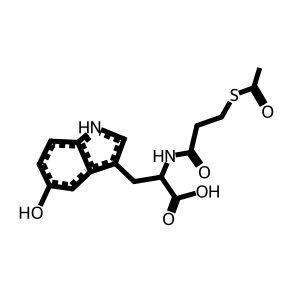 CC(=O)SCCC(=O)NC(Cc1c[nH]c2ccc(O)cc12)C(=O)O